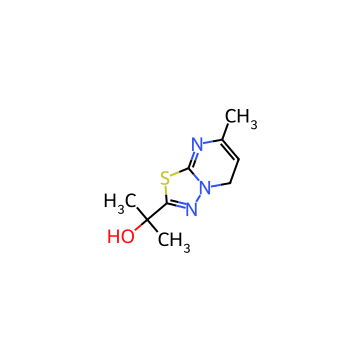 CC1=CCN2N=C(C(C)(C)O)SC2=N1